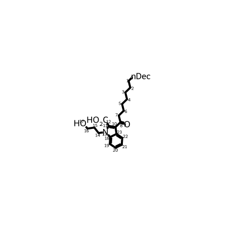 CCCCCCCCCCCCCCCCCC(=O)c1c(C(=O)O)n(CCCO)c2ccccc12